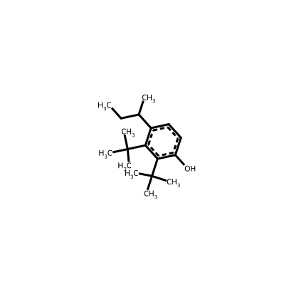 CCC(C)c1ccc(O)c(C(C)(C)C)c1C(C)(C)C